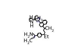 C=C/C=C(\CN)C1=CC=C(C(CC)CCC(=C)C2=c3ccccc3=C(C(/C=C\C)=C/C(C)C3C=CCN3)CC2)CC1